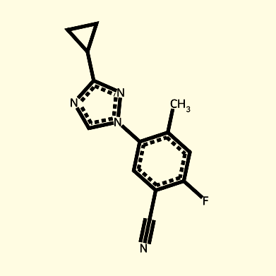 Cc1cc(F)c(C#N)cc1-n1cnc(C2CC2)n1